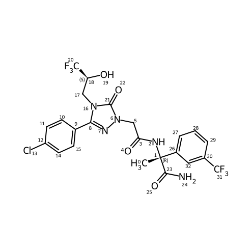 C[C@](NC(=O)Cn1nc(-c2ccc(Cl)cc2)n(C[C@H](O)C(F)(F)F)c1=O)(C(N)=O)c1cccc(C(F)(F)F)c1